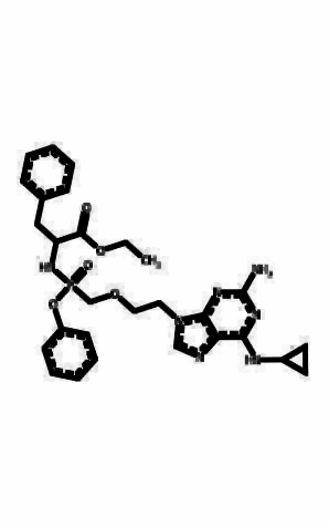 CCOC(=O)C(Cc1ccccc1)NP(=O)(COCCn1cnc2c(NC3CC3)nc(N)nc21)Oc1ccccc1